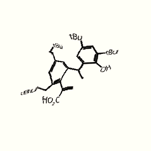 C=C(C(=O)O)c1c(CC(C)(C)C)cc(CC(C)(C)C)cc1C(C)c1cc(C(C)(C)C)cc(C(C)(C)C)c1O